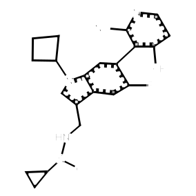 N#Cc1nccc(C(F)(F)F)c1-c1cc2c(cc1F)c(CN[S+]([O-])C1CC1)cn2C1CCC1